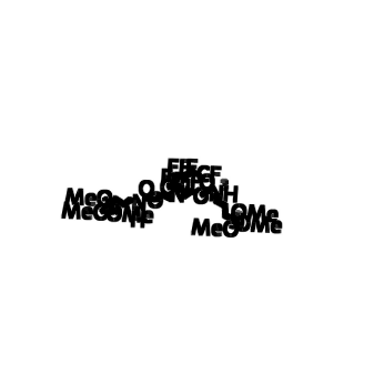 CO[Si](CCCNC(=O)OCCN(CCOC(=O)NCCC[Si](OC)(OC)OC)S(=O)(=O)C(F)(F)C(F)(F)C(F)(F)C(F)(F)F)(OC)OC